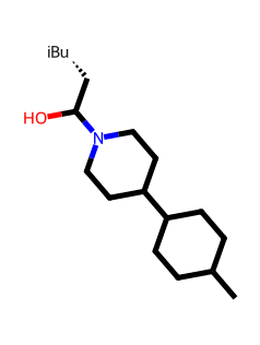 CC[C@@H](C)CC(O)N1CCC(C2CCC(C)CC2)CC1